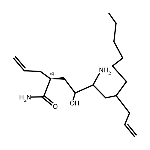 C=CCC(CCCCCC)CC(N)C(O)C[C@H](CC=C)C(N)=O